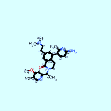 CCOc1cc([C@H](C)N2CCc3c(cc(CCN(C)CC)cc3-c3ccc(N)nc3C(F)(F)F)C2=O)ncc1C#N